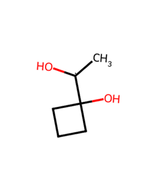 C[C](O)C1(O)CCC1